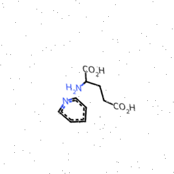 NC(CCC(=O)O)C(=O)O.c1ccncc1